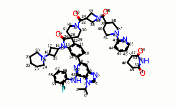 CC(C)n1cnc2cc(-c3ccc4c(c3)N(C3CC(N5CCCCC5)C3)C(=O)C43CCN(C(=O)C4CN(C(=O)C5CCN(c6ccc([C@H]7CCC(=O)NC7=O)cn6)CC5)C4)CC3)nc(Nc3ccccc3F)c21